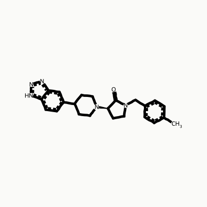 Cc1ccc(CN2CC[C@@H](N3CCC(c4ccc5[nH]nnc5c4)CC3)C2=O)cc1